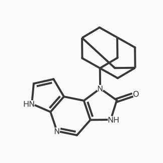 O=c1[nH]c2cnc3[nH]ccc3c2n1C12CC3CC(CC(C3)C1)C2